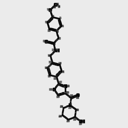 O=C(Cc1ccc(OC(F)(F)F)cc1)NCc1ccc(-c2nc(C(=O)N3CCCC(O)C3)co2)cc1